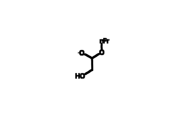 CCCOC([O])CO